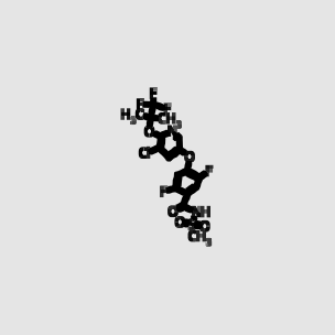 CC(C)(Oc1ncc(Oc2cc(F)c(C(=O)NS(C)(=O)=O)cc2F)cc1Cl)C(F)(F)F